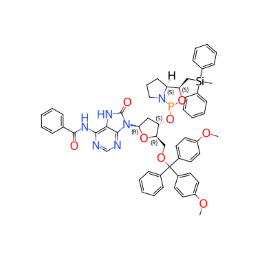 COc1ccc(C(OC[C@H]2O[C@@H](n3c(=O)[nH]c4c(NC(=O)c5ccccc5)ncnc43)C[C@@H]2OP2O[C@H](C[Si](C)(c3ccccc3)c3ccccc3)[C@@H]3CCCN32)(c2ccccc2)c2ccc(OC)cc2)cc1